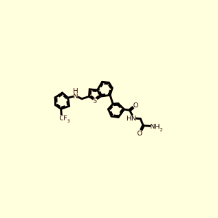 NC(=O)CNC(=O)c1cccc(-c2cccc3cc(CNc4cccc(C(F)(F)F)c4)sc23)c1